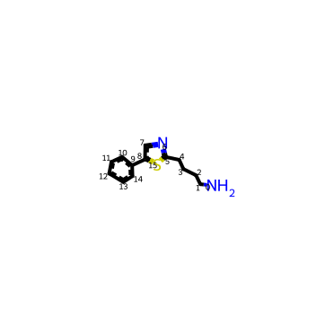 NCCCCc1ncc(-c2ccccc2)s1